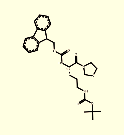 CC(C)(C)OC(=O)NCCC[C@H](NC(=O)OCC1c2ccccc2-c2ccccc21)C(=O)N1CCSC1